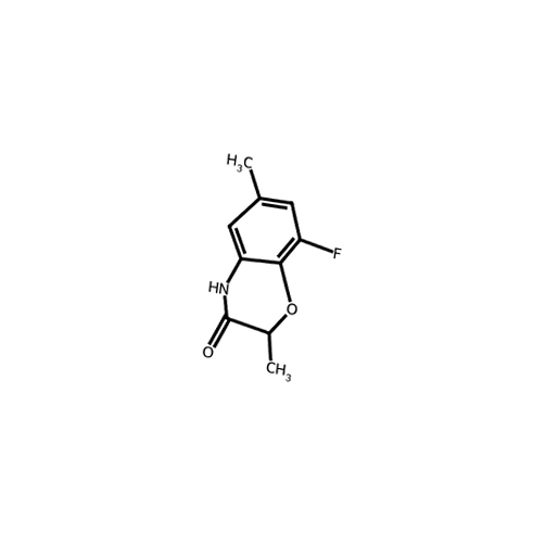 Cc1cc(F)c2c(c1)NC(=O)C(C)O2